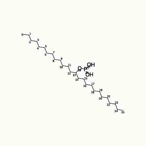 CCCCCCCCCCCCCC(CCCCCCCCCCCC)OP(O)O